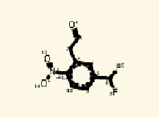 O=CCc1cc(C(F)F)ccc1[N+](=O)[O-]